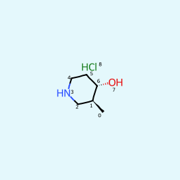 C[C@H]1CNCC[C@@H]1O.Cl